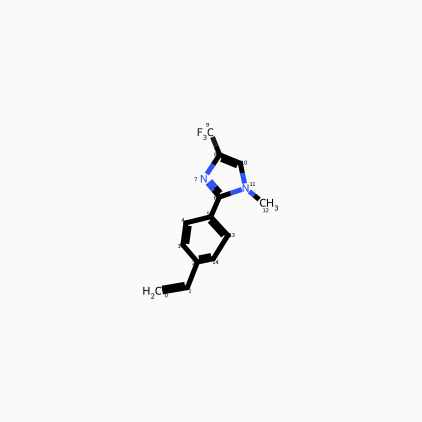 C=Cc1ccc(-c2nc(C(F)(F)F)cn2C)cc1